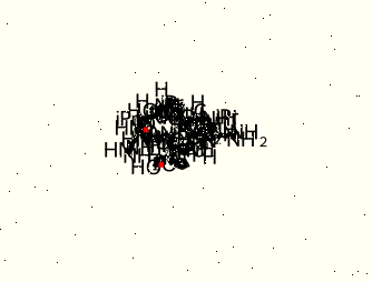 CC[C@H](C)[C@H](NC(=O)[C@H](C)NC(=O)[C@@H](NC(=O)[C@H](CCCNC(=N)N)NC(=O)[C@@H](NC(=O)CNC(=O)[C@H](CO)NC(=O)[C@@H]1CCCN1C(=O)[C@H](CC(C)C)NC(=O)[C@@H]1CCCN1C(=O)CNC(=O)[C@H](CC(=O)O)NC(=O)[C@H](CC(C)C)NC(=O)[C@H](CCCNC(=N)N)NC(=O)[C@@H](NC(=O)[C@@H](N)Cc1c[nH]c2ccccc12)[C@@H](C)O)C(C)C)C(C)C)C(=O)N[C@@H](C)C(=O)N[C@@H](Cc1ccc(O)cc1)C(=O)c1ccccc1